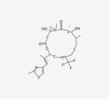 C/C(=C\c1csc(C)n1)C1C/C=C(/C(F)(F)F)CCCC(C)C(O)[C@@H](C)C(=O)C(C)(C)[C@@H](O)CC(=O)O1